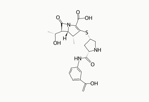 C=C(O)c1cccc(NC(=O)[C@@H]2C[C@H](SC3=C(C(=O)O)N4C(=O)[C@H]([C@@H](C)O)[C@H]4[C@H]3C)CN2)c1